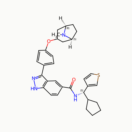 CN1[C@@H]2CC[C@H]1CC(Oc1ccc(-c3n[nH]c4ccc(C(=O)N[C@H](c5ccsc5)C5CCCC5)cc34)cc1)C2